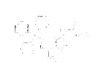 CC(C)(C)OC(=O)Nc1nc(C(=NOC(c2ccccc2)(c2ccccc2)c2ccccc2)C(=O)O)c(Cl)s1